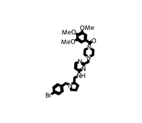 COc1cc(C(=O)N2CCN(Cc3nccc(NCC4CCCN4Cc4ccc(Br)cc4)n3)CC2)cc(OC)c1OC